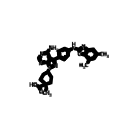 CCC1(C(=O)O)CCC(n2nc(-c3ccc(Nc4nc5cc(C)cc(C)c5o4)cc3)c3c(N)ncnc32)CC1